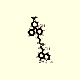 CC(C)N1CCC(c2ccccc2)(c2cc(CCCNC[C@H](O)c3ccc(O)c4[nH]c(=O)ccc34)ccc2O)CC1